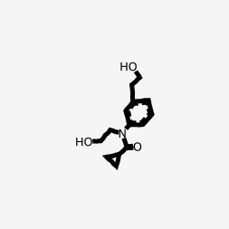 O=C(C1CC1)N(CCO)c1cccc(CCO)c1